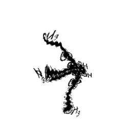 CCCCCCCCCCCC(=O)OCCOCC(OC(=O)CCCCCCCCCCC)c1c(O)ccc(O)c1C(COCCOC(=O)CCCCCCCCCCC)OC(=O)CCCCCCCCCCC